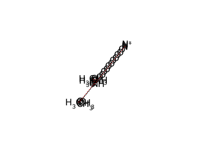 CC(C)(C)OC(=O)CCCCCCCCCCCCCCCCC(=O)N[C@@H](CC(=O)NCCOCCOCCOCCOCCOCCOCCOCCOCCOCCOCCOCCN=[N+]=[N-])C(=O)OC(C)(C)C